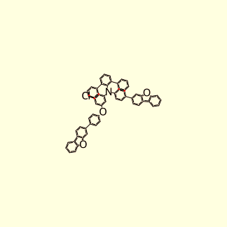 Clc1cc(Oc2ccc(-c3ccc4c(c3)oc3ccccc34)cc2)cc(N(c2ccc(-c3ccc4c(c3)oc3ccccc34)cc2)c2c(-c3ccccc3)cccc2-c2ccccc2)c1